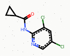 O=C(Nc1ncc(Cl)cc1Cl)C1CC1